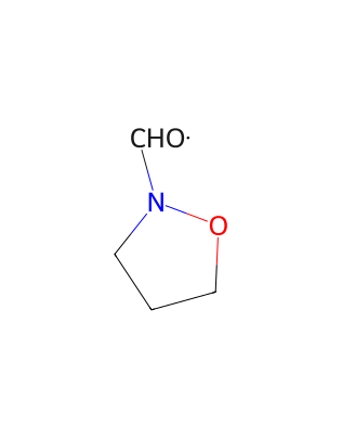 O=[C]N1CCCO1